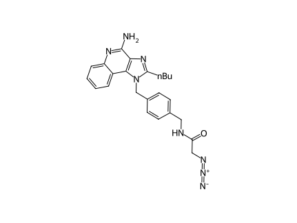 CCCCc1nc2c(N)nc3ccccc3c2n1Cc1ccc(CNC(=O)CN=[N+]=[N-])cc1